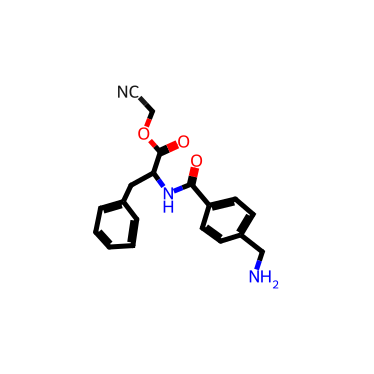 N#CCOC(=O)C(Cc1ccccc1)NC(=O)c1ccc(CN)cc1